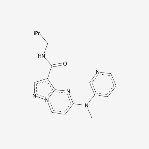 CC(C)CNC(=O)c1cnn2ccc(N(C)c3cccnc3)nc12